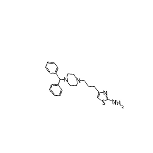 Nc1nc(CCCN2CCN(C(c3ccccc3)c3ccccc3)CC2)cs1